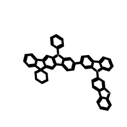 c1ccc(-n2c3cc(-c4ccc5c6ccccc6n(-c6ccc7c(c6)sc6ccccc67)c5c4)ccc3c3cc4c(cc32)-c2ccccc2C42CCCCC2)cc1